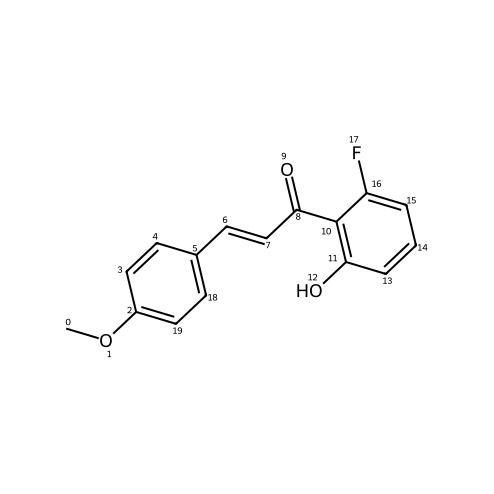 COc1ccc(C=CC(=O)c2c(O)cccc2F)cc1